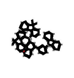 CC1(C)c2ccccc2-c2c(N(c3cc(-c4cccc(-n5c6ccccc6c6ccccc65)c4)c4ccccc4c3)c3cccc4c3-c3ccccc3C4(C)C)cccc21